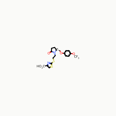 O=C(O)c1csc(SCCN2C(=O)CC[C@@H]2COc2ccc(OC(F)(F)F)cc2)n1